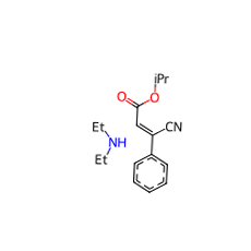 CC(C)OC(=O)C=C(C#N)c1ccccc1.CCNCC